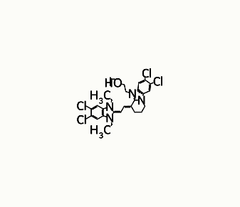 CCN1C(=CC=C2CCCn3c2[n+](CCO)c2cc(Cl)c(Cl)cc23)N(CC)c2cc(Cl)c(Cl)cc21.[I-]